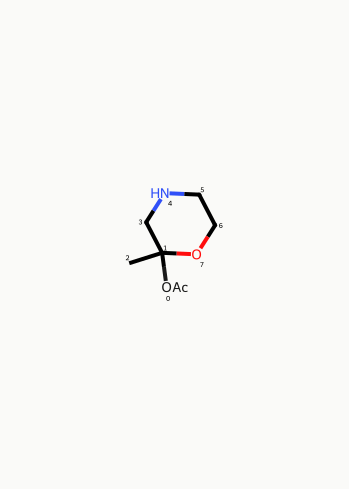 CC(=O)OC1(C)CNCCO1